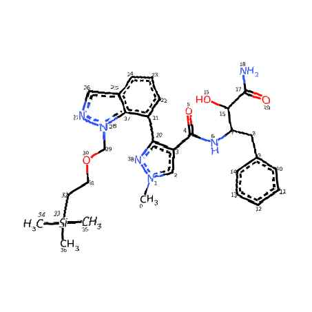 Cn1cc(C(=O)NC(Cc2ccccc2)C(O)C(N)=O)c(-c2cccc3cnn(COCC[Si](C)(C)C)c23)n1